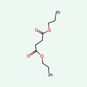 CC(C)CCOC(=O)CCC(=O)OCCC(C)C